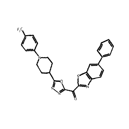 O=C(c1nnc(C2CCN(c3ccc(C(F)(F)F)cc3)CC2)o1)c1nc2ccc(-c3ccccc3)cc2s1